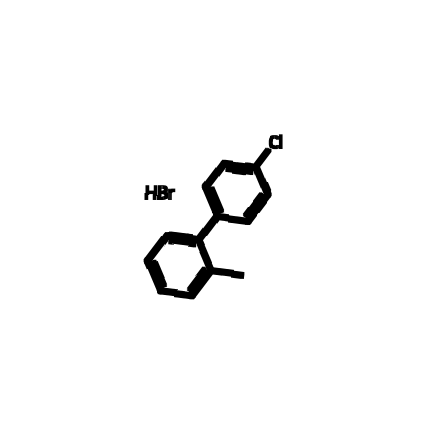 Br.Cc1ccccc1-c1ccc(Cl)cc1